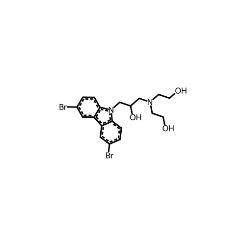 OCCN(CCO)CC(O)Cn1c2ccc(Br)cc2c2cc(Br)ccc21